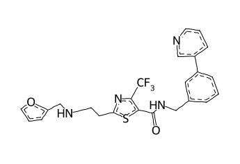 O=C(NCc1cccc(-c2cccnc2)c1)c1sc(CCNCc2ccco2)nc1C(F)(F)F